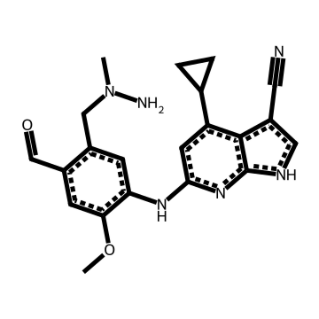 COc1cc(C=O)c(CN(C)N)cc1Nc1cc(C2CC2)c2c(C#N)c[nH]c2n1